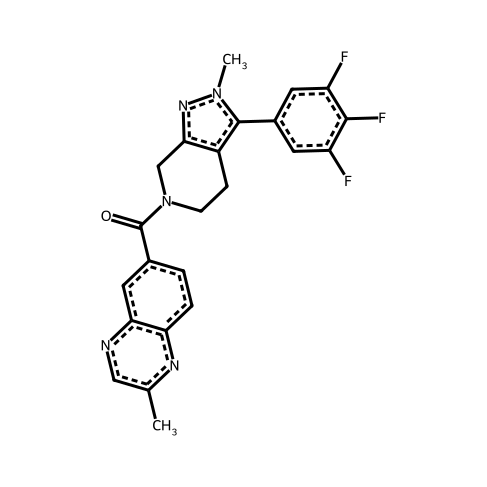 Cc1cnc2cc(C(=O)N3CCc4c(nn(C)c4-c4cc(F)c(F)c(F)c4)C3)ccc2n1